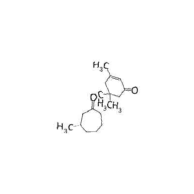 CC1=CC(=O)CC(C)(C)C1.CC1CCCCC(=O)C1